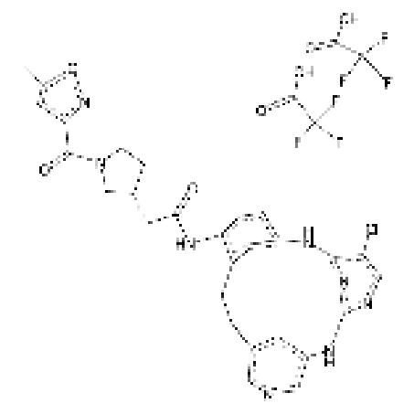 Cc1cc(C(=O)N2CC[C@H](CC(=O)Nc3ccc4cc3CCc3cncc(c3)Nc3ncc(Cl)c(n3)N4)C2)no1.O=C(O)C(F)(F)F.O=C(O)C(F)(F)F